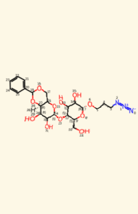 [N-]=[N+]=NCCCO[C@@H]1O[C@@H](CO)[C@@H](O[C@@H]2OC3COC(c4ccccc4)O[C@@H]3[C@H](O)C2O)C(O)C1O